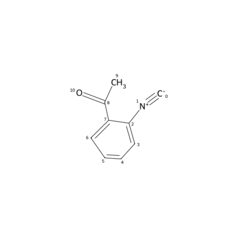 [C-]#[N+]c1ccccc1C(C)=O